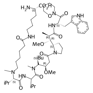 CC[C@H](C)C([C@@H](CC(=O)N1CCC[C@H]1[C@H](OC)[C@@H](C)C(=O)N[C@@H](Cc1c[nH]c2ccccc12)C(=O)N1CCCCO1)OC)N(C)C(=O)C(NC(=O)[C@H](C(C)C)N(C)CCCCCC(=O)NCCCC[C@H](N)C(=O)O)C(C)C